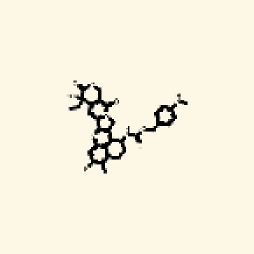 CCC1(O)C(=O)OCc2c1cc1n(c2=O)Cc2c-1nc1cc(F)c(C)c3c1c2C(NC(=O)OCc1ccc(NC)cc1)CC3